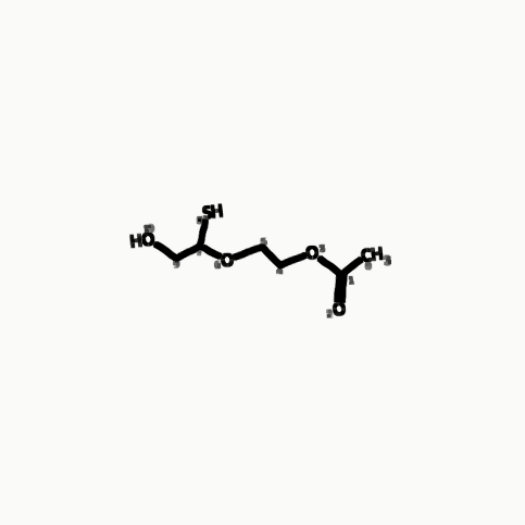 CC(=O)OCCOC(S)CO